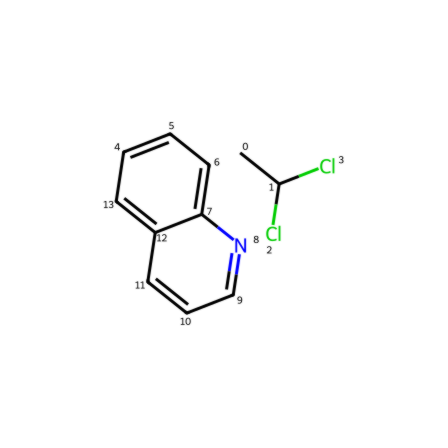 CC(Cl)Cl.c1ccc2ncccc2c1